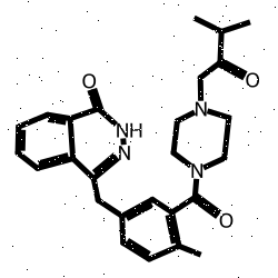 Cc1ccc(Cc2n[nH]c(=O)c3ccccc23)cc1C(=O)N1CCN(CC(=O)C(C)C)CC1